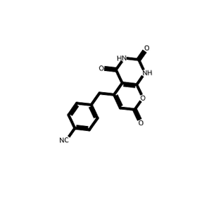 N#Cc1ccc(Cc2cc(=O)oc3[nH]c(=O)[nH]c(=O)c23)cc1